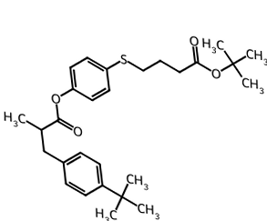 CC(Cc1ccc(C(C)(C)C)cc1)C(=O)Oc1ccc(SCCCC(=O)OC(C)(C)C)cc1